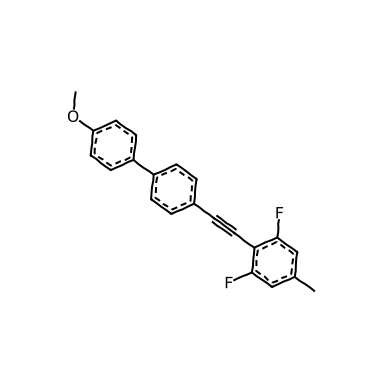 COc1ccc(-c2ccc(C#Cc3c(F)cc(C)cc3F)cc2)cc1